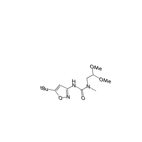 COC(CN(C)C(=O)Nc1cc(C(C)(C)C)on1)OC